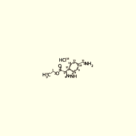 CCOC(=O)c1n[nH]c2cc(CN)ccc12.Cl